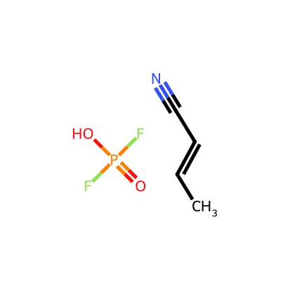 CC=CC#N.O=P(O)(F)F